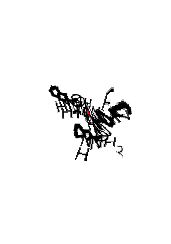 CC(C)(C)[C@H](NC(=O)c1cc2ccccc2[nH]1)C(=O)N1C[C@@H]2C[C@H]1CN2C(=O)c1ccc(-c2ncccc2F)cn1.NC(=O)c1cc2ccccc2[nH]1